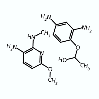 CC(O)Oc1ccc(N)cc1N.CNc1nc(OC)ccc1N